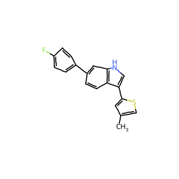 Cc1csc(-c2c[nH]c3cc(-c4ccc(F)cc4)ccc23)c1